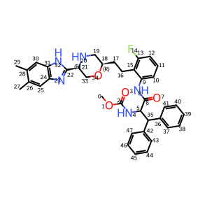 COC(=O)NC(C(=O)Nc1cccc(F)c1CC[C@@H]1CN[C@H](c2nc3cc(C)c(C)cc3[nH]2)CO1)C(c1ccccc1)c1ccccc1